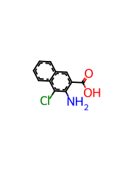 Nc1c(C(=O)O)cc2ccccc2c1Cl